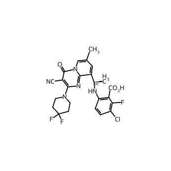 Cc1cc([C@@H](C)Nc2ccc(Cl)c(F)c2C(=O)O)c2nc(N3CCC(F)(F)CC3)c(C#N)c(=O)n2c1